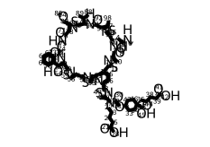 CNC(=O)C[C@@H]1NC(=O)c2csc(n2)-c2ccc(-c3nc(N(CCCCC(=O)O)C(=O)O[C@H]4CC[C@@](CCCCC(=O)O)(C(=O)O)CC4)cs3)nc2-c2csc(n2)-c2csc(n2)[C@H]([C@@H](O)c2ccccc2)NC(=O)CNC(=O)c2nc(sc2COC)C(C(C)C)NC(=O)c2nc1sc2C